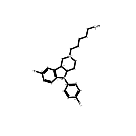 O=CCCCCCN1CCC2C(C1)c1cc(F)ccc1N2c1ccc(F)cc1